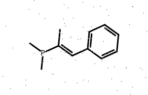 C/C(=C\c1ccccc1)P(C)C